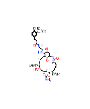 COc1cc(/C=C/C(=O)NCCNC2=C3C[C@@H](C)C[C@H](OC)[C@H](O)[C@@H](C)/C=C(\C)C(OC(N)=O)[C@@H](OC)/C=C\C=C(/C)C(=O)NC(=CC2=O)C3=O)ccc1C=O